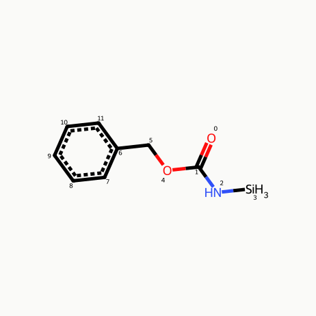 O=C(N[SiH3])OCc1ccccc1